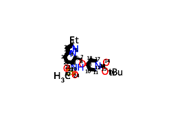 CCc1cc2n(n1)[C@@H](COC1CCN(C(=O)OC(C)(C)C)CC1)[C@@H](NS(C)(=O)=O)CC2